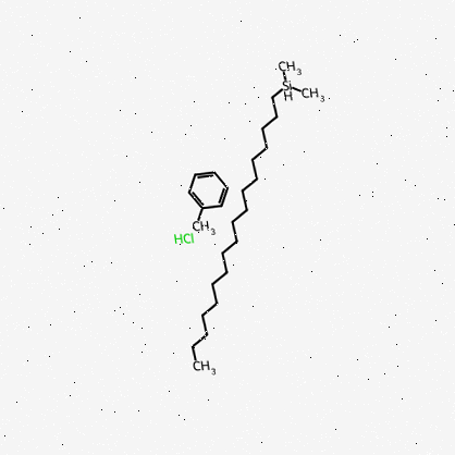 CCCCCCCCCCCCCCCCCC[SiH](C)C.Cc1ccccc1.Cl